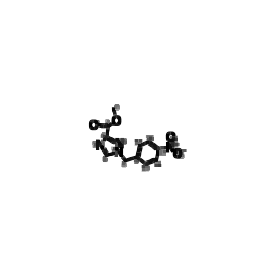 COC(=O)c1ncn(Cc2ccc([N+](=O)[O-])cc2)n1